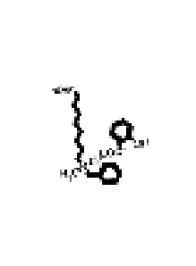 CCCCCCCCCCCCCCCCCC[N+](C)(C)Cc1ccccc1.O=C([O-])c1ccccc1O